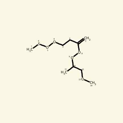 C=C(CCOOSC)OOC(C)COC